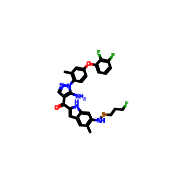 Cc1cc2cc(C(=O)c3cnn(-c4ccc(Oc5cccc(F)c5F)cc4C)c3N)[nH]c2cc1NSCCCF